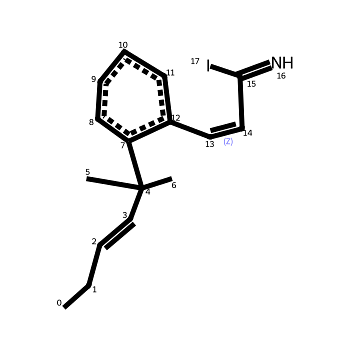 CCC=CC(C)(C)c1ccccc1/C=C\C(=N)I